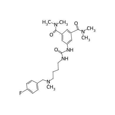 CN(CCCCNC(=O)Nc1cc(C(=O)N(C)C)cc(C(=O)N(C)C)c1)Cc1ccc(F)cc1